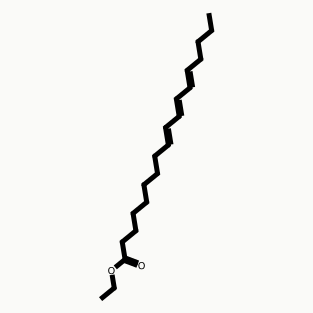 CCCCC=CC=CC=CCCCCCCCC(=O)OCC